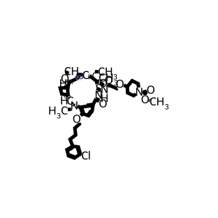 CC[C@H]1C/C=C/[C@H](OC)[C@@H]2CC[C@H]2CN(CC)c2cc(ccc2OCCCCc2cccc(Cl)c2)C(=O)N=S(=O)(NC(=O)COC2CCN(C(=O)OC)CC2)[C@@H]1C